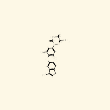 CC(C)C1=CCc2ccc(Oc3c(Cl)cc(-n4nc(N)c(=O)[nH]c4=O)cc3Cl)cc21